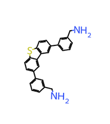 NCc1cccc(-c2ccc3sc4ccc(-c5cccc(CN)c5)cc4c3c2)c1